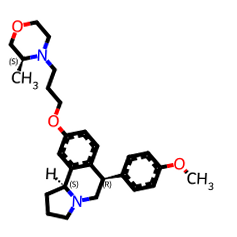 COc1ccc([C@H]2CN3CCC[C@H]3c3cc(OCCCN4CCOC[C@@H]4C)ccc32)cc1